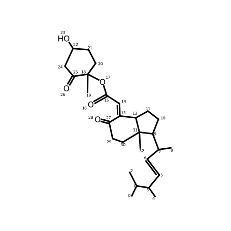 CC(C)C(C)/C=C/C(C)C1CCC2/C(=C/C(=O)OC3(C)CCC(O)CC3=O)C(=O)CCC21C